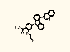 NC(=O)c1ccc(-n2c3ccccc3c3c(-c4cnc5ccccc5c4)cccc32)cc1NCCF